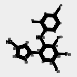 Cc1cc(I)ccc1Nc1c(-c2nnc(O)s2)cc(F)c(F)c1F